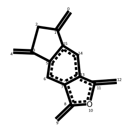 C=C1CC(=C)c2cc3c(=C)oc(=C)c3cc21